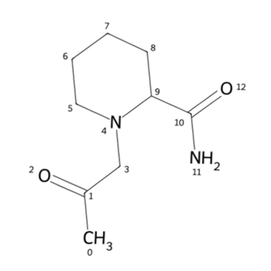 CC(=O)CN1CCCCC1C(N)=O